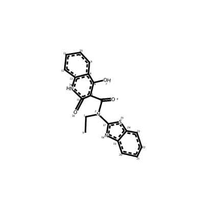 CCN(C(=O)c1c(O)c2ccccc2[nH]c1=O)c1nc2ccccc2s1